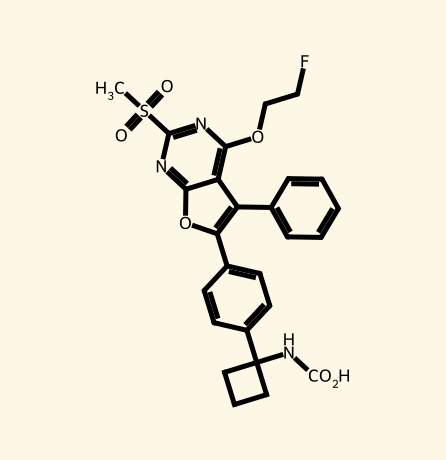 CS(=O)(=O)c1nc(OCCF)c2c(-c3ccccc3)c(-c3ccc(C4(NC(=O)O)CCC4)cc3)oc2n1